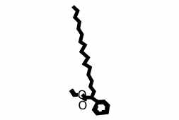 C=COC(=O)C(CCCCCCCCCCCCCCCC)c1ccccc1